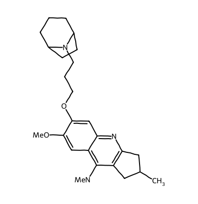 CNc1c2c(nc3cc(OCCCN4C5CCCC4CC5)c(OC)cc13)CC(C)C2